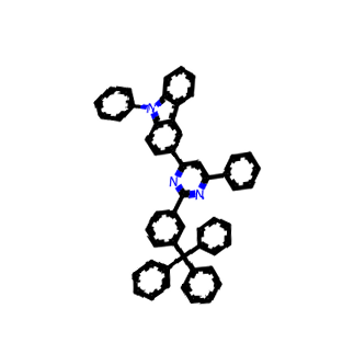 c1ccc(-c2cc(-c3ccc4c(c3)c3ccccc3n4-c3ccccc3)nc(-c3cccc(C(c4ccccc4)(c4ccccc4)c4ccccc4)c3)n2)cc1